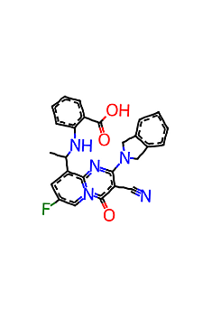 CC(Nc1ccccc1C(=O)O)c1cc(F)cn2c(=O)c(C#N)c(N3Cc4ccccc4C3)nc12